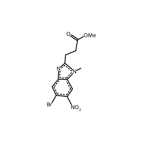 COC(=O)CCc1nc2cc(Br)c([N+](=O)[O-])cc2n1C